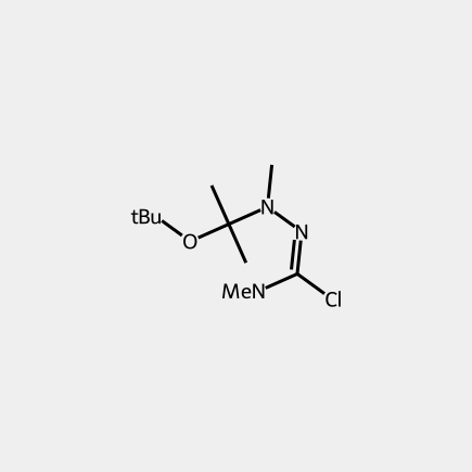 CN/C(Cl)=N\N(C)C(C)(C)OC(C)(C)C